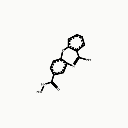 CCCCNC(=O)c1ccc2c(c1)N=C(CCC)c1ccccc1S2